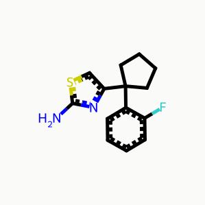 Nc1nc(C2(c3ccccc3F)CCCC2)cs1